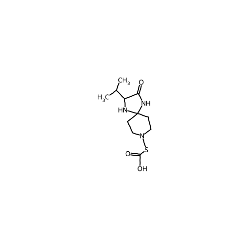 CC(C)C1NC2(CCN(SC(=O)O)CC2)NC1=O